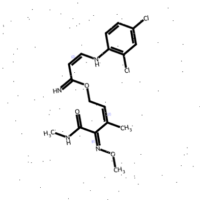 CNC(=O)C(=N/OC)/C(C)=C\COC(=N)/C=C\Nc1ccc(Cl)cc1Cl